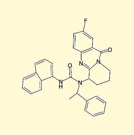 CC(c1ccccc1)N(C(=O)Nc1cccc2ccccc12)C1CCCn2c1nc1ccc(F)cc1c2=O